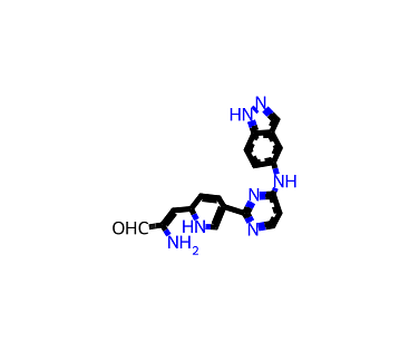 N/C(C=O)=C\C1C=CC(c2nccc(Nc3ccc4[nH]ncc4c3)n2)=CN1